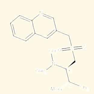 CO[C@@H](C)[C@H](CS(=O)(=O)Cc1cnc2ccccc2c1)N(O)C=O